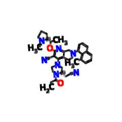 C=CC(=O)N1CCN(c2c(C#N)c(OC(C)[C@H]3CCCN3C)nc3c2CCN(c2cccc4cccc(C)c24)C3)C[C@@H]1CC#N